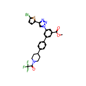 COC(=O)c1cc(-c2ccc(C3CCN(C(=O)C(F)(F)F)CC3)cc2)cc(-n2cc(-c3ccc(Br)s3)nn2)c1